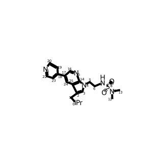 CC(C)Cc1cn(CCNS(=O)(=O)N(C)C)c2ncc(-c3ccncc3)cc12